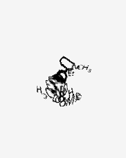 CCC(C)(NP(=O)(COC)Oc1cccc(C2(CC)CCCCN(C)C2)c1)C(=O)O